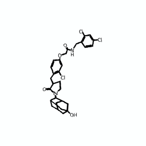 O=C(COc1ccc(CC2CCN(C3C4CC5CC3CC(O)(C5)C4)C2=O)c(Cl)c1)NCc1ccc(Cl)cc1Cl